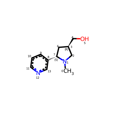 CN1C[C@H](CO)C[C@H]1c1cccnc1